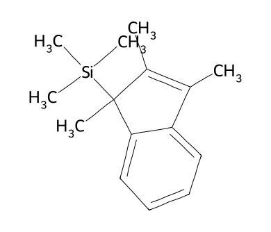 CC1=C(C)C(C)([Si](C)(C)C)c2ccccc21